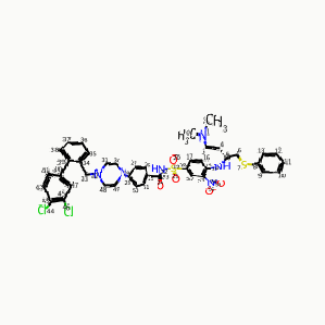 CN(C)CC[C@H](CSc1ccccc1)Nc1ccc(S(=O)(=O)NC(=O)c2ccc(N3CCN(Cc4ccccc4-c4ccc(Cl)c(Cl)c4)CC3)cc2)cc1[N+](=O)[O-]